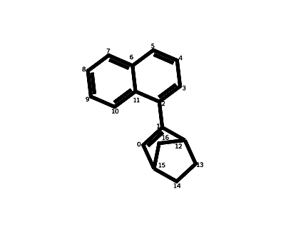 C1=C(c2cccc3ccccc23)C2CCC1C2